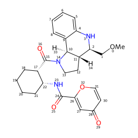 COC[C@@H]1Nc2ccccc2[C@H]2[C@H]1CCN2C(=O)[C@H]1CCCC[C@H]1NC(=O)c1cc(=O)cco1